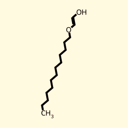 CCCCCCCCCCCCCOC=CO